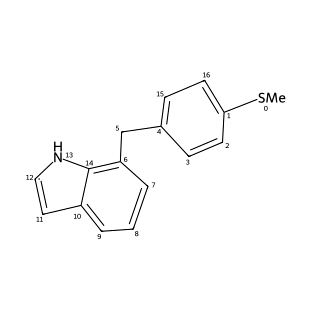 CSc1ccc(Cc2cccc3c[c][nH]c23)cc1